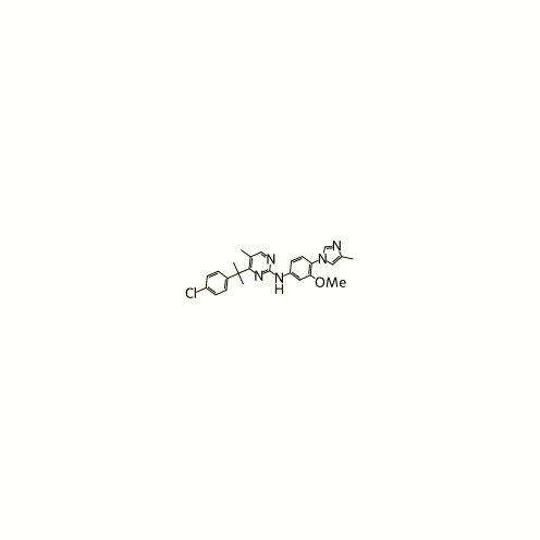 COc1cc(Nc2ncc(C)c(C(C)(C)c3ccc(Cl)cc3)n2)ccc1-n1cnc(C)c1